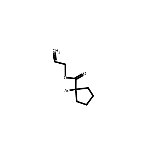 C=CCOC(=O)C1(C(C)=O)CCCC1